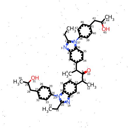 CCc1nc2cc(C(C)C(=O)C(C)c3ccc4c(c3)nc(CC)n4-c3ccc(CC(C)O)cc3)ccc2n1-c1ccc(CC(C)O)cc1